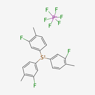 Cc1ccc([S+](c2ccc(C)c(F)c2)c2ccc(C)c(F)c2)cc1F.F[P-](F)(F)(F)(F)F